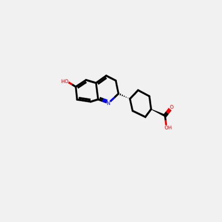 O=C(O)[C@H]1CC[C@H](C2CC=c3cc(O)ccc3=N2)CC1